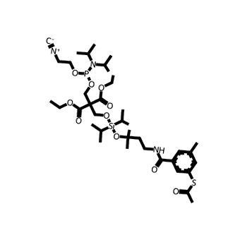 [C-]#[N+]CCOP(OCC(CO[Si](OC(C)(C)CCNC(=O)c1cc(C)cc(SC(C)=O)c1)(C(C)C)C(C)C)(C(=O)OCC)C(=O)OCC)N(C(C)C)C(C)C